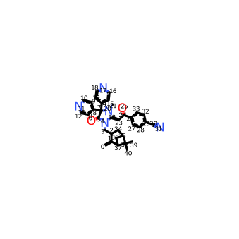 C=C1C(CN2C(=O)C(c3ccncc3)(c3ccncc3)N(C)C2=CC(=O)c2ccc(C#N)cc2)CC2CC1C2(C)C